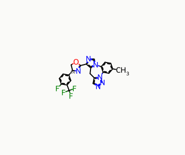 Cc1ccc2c(c1)-n1nncc1Cc1c(C3=N[C@@H](c4ccc(F)c(C(F)(F)F)c4)CO3)ncn1-2